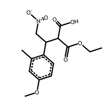 CCOC(=O)C(C(=O)O)C(C[N+](=O)[O-])c1ccc(OC)cc1C